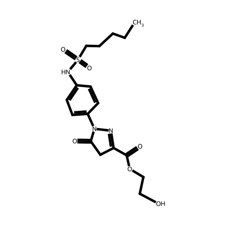 CCCCCS(=O)(=O)Nc1ccc(N2N=C(C(=O)OCCO)CC2=O)cc1